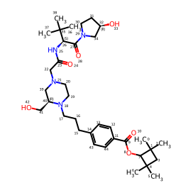 CC1(C)CC(C)(C)C1OC(=O)c1ccc(CCCN2CCN(CC(=O)N[C@H](C(=O)N3CC[C@@H](O)C3)C(C)(C)C)C[C@@H]2CO)cc1